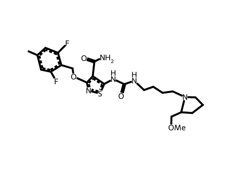 COCC1CCCN1CCCCNC(=O)Nc1snc(OCc2c(F)cc(C)cc2F)c1C(N)=O